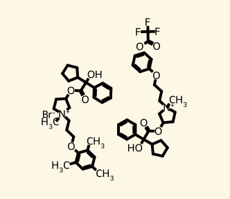 C[N+]1(CCCOc2ccccc2)CCC(OC(=O)C(O)(c2ccccc2)C2CCCC2)C1.Cc1cc(C)c(OCCC[N+]2(C)CCC(OC(=O)C(O)(c3ccccc3)C3CCCC3)C2)c(C)c1.O=C([O-])C(F)(F)F.[Br-]